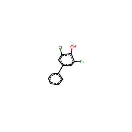 Oc1c(Cl)cc(-c2ccccc2)cc1Cl